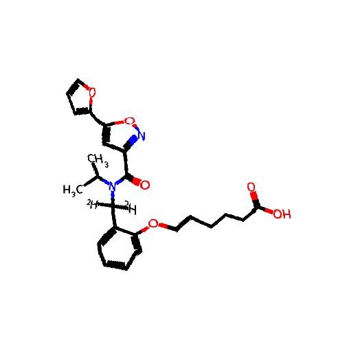 [2H]C([2H])(c1ccccc1OCCCCCC(=O)O)N(C(=O)c1cc(-c2ccco2)on1)C(C)C